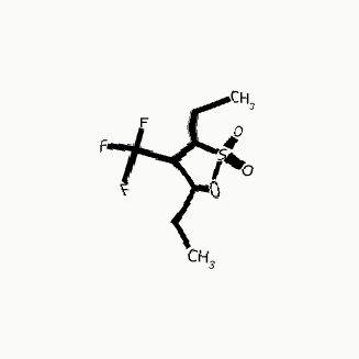 CCC1OS(=O)(=O)C(CC)C1C(F)(F)F